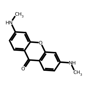 CNc1ccc2c(=O)c3ccc(NC)cc3oc2c1